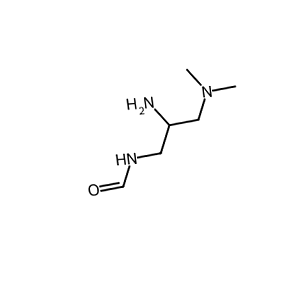 CN(C)CC(N)CNC=O